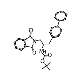 CC(C)(C)OC(=O)N[C@@H](Cc1ccc(-c2ccccc2)cc1)CN1C(=O)c2ccccc2C1=O